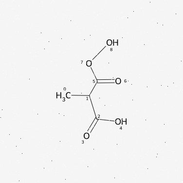 CC(C(=O)O)C(=O)OO